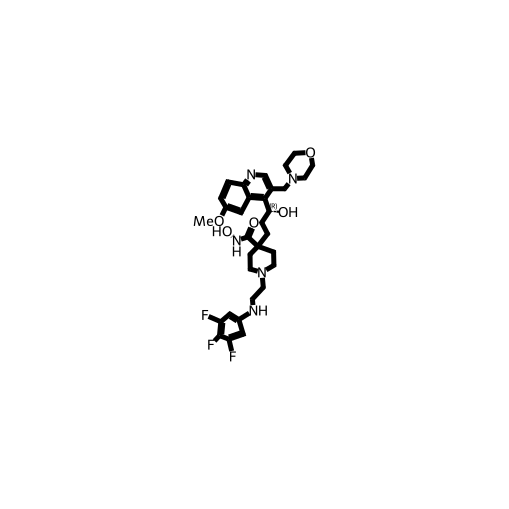 COc1ccc2ncc(CN3CCOCC3)c([C@H](O)CCC3(C(=O)NO)CCN(CCNc4cc(F)c(F)c(F)c4)CC3)c2c1